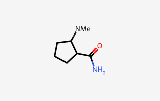 CNC1CCCC1C(N)=O